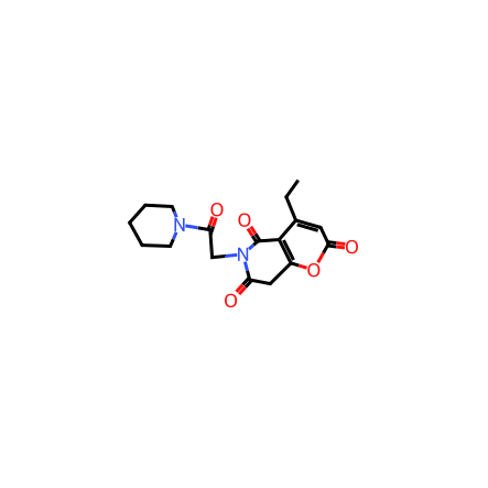 CCc1cc(=O)oc2c1C(=O)N(CC(=O)N1CCCCC1)C(=O)C2